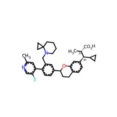 Cc1cc(-c2ccc(C3CCc4ccc([C@H](C5CC5)[C@H](C)C(=O)O)cc4O3)cc2CN2CCCCC23CC3)c(F)cn1